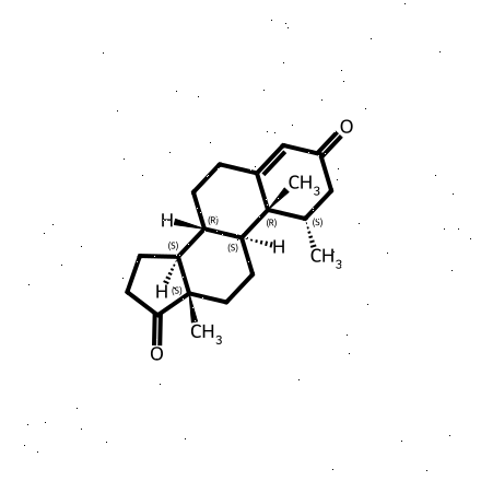 C[C@H]1CC(=O)C=C2CC[C@@H]3[C@H](CC[C@]4(C)C(=O)CC[C@@H]34)[C@]21C